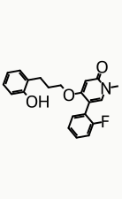 Cn1cc(-c2ccccc2F)c(OCCCc2ccccc2O)cc1=O